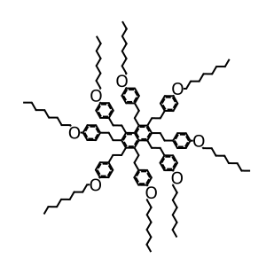 CCCCCCCCOc1ccc(CCc2c(CCc3ccc(OCCCCCCCC)cc3)c(CCc3ccc(OCCCCCCCC)cc3)c3c(CCc4ccc(OCCCCCCCC)cc4)c(CCc4ccc(OCCCCCCCC)cc4)c(CCc4ccc(OCCCCCCCC)cc4)c(CCc4ccc(OCCCCCCCC)cc4)c3c2CCc2ccc(OCCCCCCCC)cc2)cc1